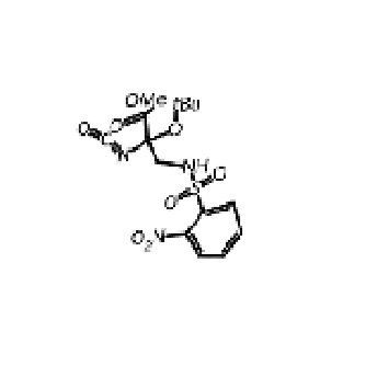 COC(=O)C(CNS(=O)(=O)c1ccccc1[N+](=O)[O-])(N=C=O)OC(C)(C)C